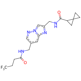 O=C(CCC(F)(F)F)NCc1cnn2cc(CNC(=O)C3CC34CC4)nc2c1